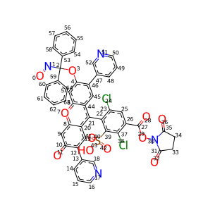 O=NC(Oc1cc2oc3cc(=O)c(-c4cccnc4)cc-3c(-c3c(Cl)cc(C(=O)ON4C(=O)CCC4=O)c(Cl)c3S(=O)(=O)O)c2cc1-c1cccnc1)(c1ccccc1)c1ccccc1